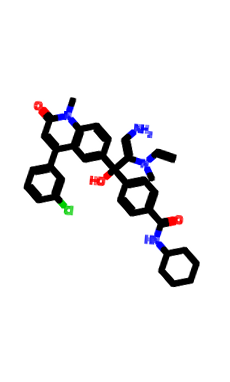 C=CN(C)/C(=C\N)C(O)(c1ccc(C(=O)NC2CCCCC2)cc1)c1ccc2c(c1)c(-c1cccc(Cl)c1)cc(=O)n2C